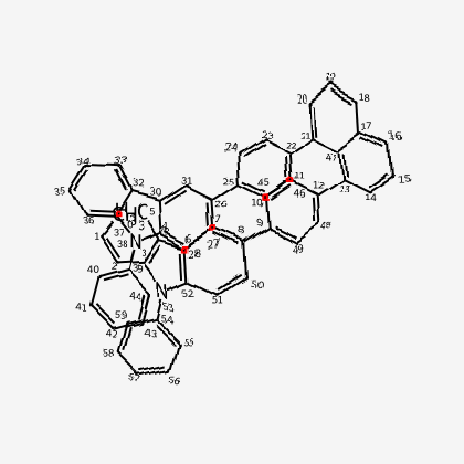 C/C=C\c1c(C)c2cc(-c3ccc(-c4cccc5cccc(-c6ccc(-c7ccc8c(c7)c7ccccc7n8-c7ccccc7)cc6)c45)cc3)ccc2n1-c1ccccc1